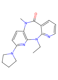 CCN1c2ncccc2C(=O)N(C)c2ccc(N3CCCC3)nc21